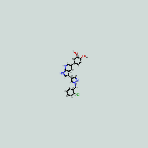 COc1ccc(-c2cnc3[nH]cc(-c4cnn(Cc5ccccc5Cl)c4)c3c2)cc1OC